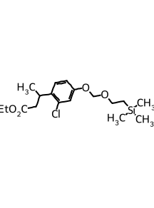 CCOC(=O)CC(C)c1ccc(OCOCC[Si](C)(C)C)cc1Cl